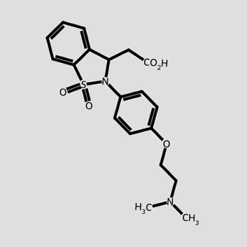 CN(C)CCOc1ccc(N2C(CC(=O)O)c3ccccc3S2(=O)=O)cc1